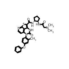 Cc1cc(Oc2ccccc2)ccc1N1C(=O)Nc2c(C(=O)N[C@@H]3CCC[C@H]3NC(=O)CN(C)C)sc3nccc1c23